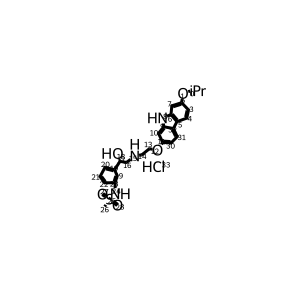 CC(C)Oc1ccc2c(c1)[nH]c1cc(OCCNC[C@H](O)c3cccc(NS(C)(=O)=O)c3)ccc12.Cl